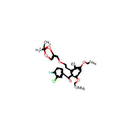 CCc1c(OCOC)cc(OCOC)c(C(=O)c2ccc(F)c(Cl)c2)c1CCOCC1COC(C)(C)O1